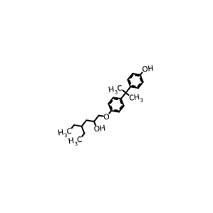 CCC(CC)CC(O)COc1ccc(C(C)(C)c2ccc(O)cc2)cc1